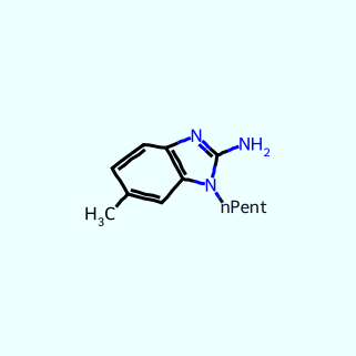 CCCCCn1c(N)nc2ccc(C)cc21